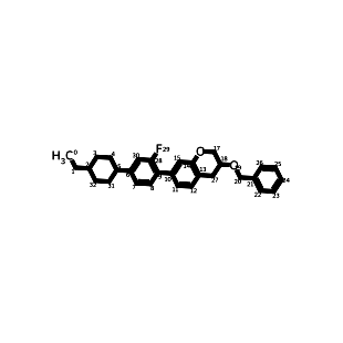 CCC1CCC(c2ccc(-c3ccc4c(c3)OCC(OCc3ccccc3)C4)c(F)c2)CC1